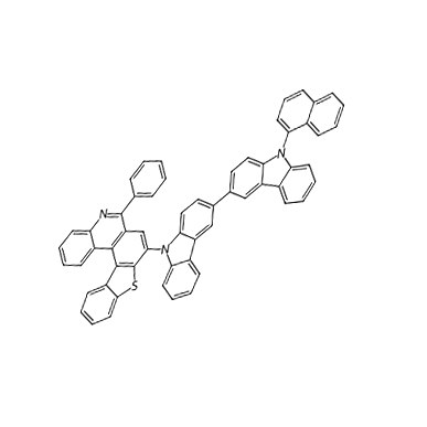 c1ccc(-c2nc3ccccc3c3c2cc(-n2c4ccccc4c4cc(-c5ccc6c(c5)c5ccccc5n6-c5cccc6ccccc56)ccc42)c2sc4ccccc4c23)cc1